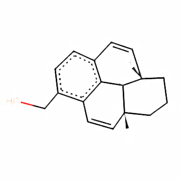 OCc1ccc2c3c1C=C[C@H]1CCC[C@@H](C=C2)C31